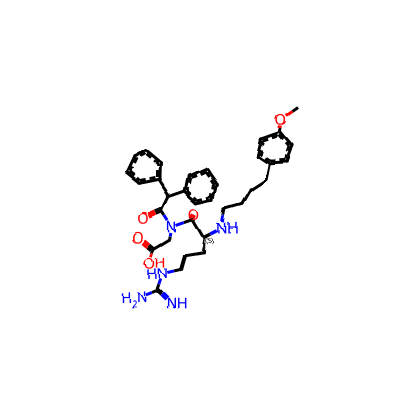 COc1ccc(CCCCN[C@@H](CCCNC(=N)N)C(=O)N(CC(=O)O)C(=O)C(c2ccccc2)c2ccccc2)cc1